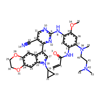 C=CC(=O)Nc1cc(Nc2ncc(C#N)c(-c3cn(C4CC4)c4cc5c(cc34)OCCO5)n2)c(OC)cc1N(C)CCN(C)C